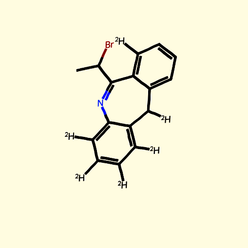 [2H]c1cccc2c1C(C(C)Br)=Nc1c([2H])c([2H])c([2H])c([2H])c1C2[2H]